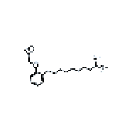 BrC(Br)CCCCCCCCc1ccccc1OCC1CO1